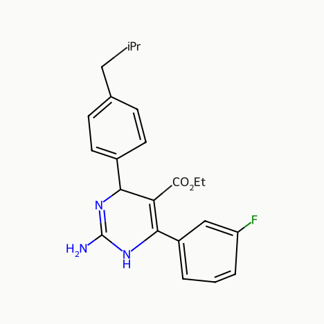 CCOC(=O)C1=C(c2cccc(F)c2)NC(N)=NC1c1ccc(CC(C)C)cc1